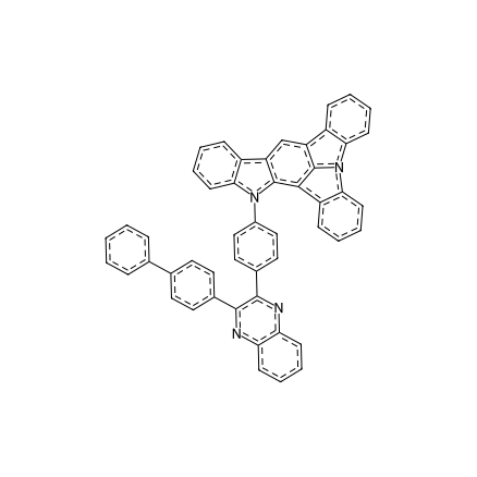 c1ccc(-c2ccc(-c3nc4ccccc4nc3-c3ccc(-n4c5ccccc5c5cc6c7ccccc7n7c8ccccc8c(c54)c67)cc3)cc2)cc1